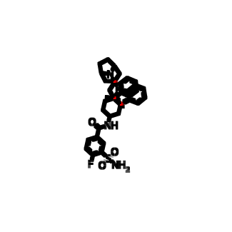 Cc1nc2ccccc2n1C1CC2CCC(C1)N2CCC1(c2ccccc2)CCC(NC(=O)c2ccc(F)c(S(N)(=O)=O)c2)CC1